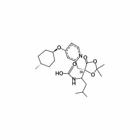 CC(C)CC(NC(=O)O)[C@]1(Cc2cc(O[C@H]3CC[C@H](C)CC3)ccn2)OC(C)(C)OC1=O